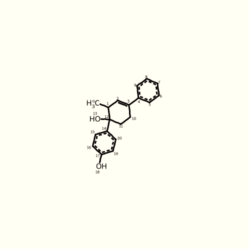 CC1C=C(c2ccccc2)CCC1(O)c1ccc(O)cc1